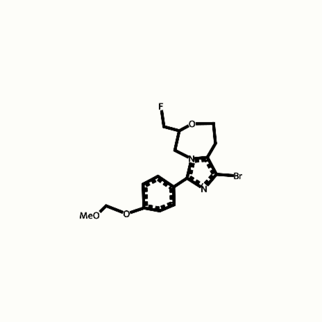 COCOc1ccc(-c2nc(Br)c3n2CC(CF)OCC3)cc1